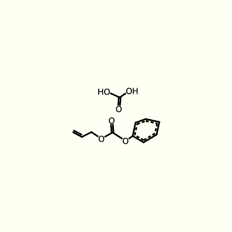 C=CCOC(=O)Oc1ccccc1.O=C(O)O